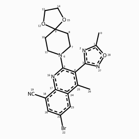 Cc1nc(-c2c(N3CCC4(CC3)OCCO4)nc3c(C#N)cc(Br)cc3c2C)no1